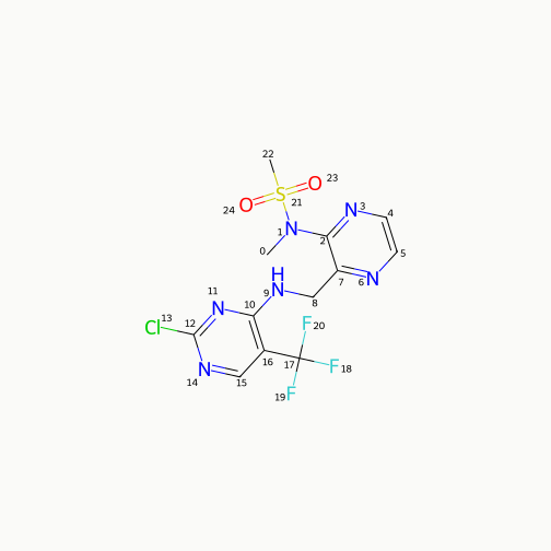 CN(c1nccnc1CNc1nc(Cl)ncc1C(F)(F)F)S(C)(=O)=O